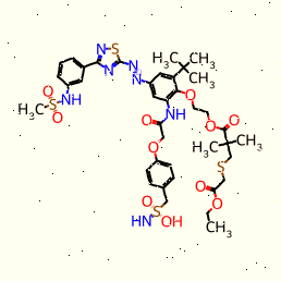 CCOC(=O)CSCC(C)(C)C(=O)OCCOc1c(NC(=O)COc2ccc(CS(=N)(=O)O)cc2)cc(/N=N/c2nc(-c3cccc(NS(C)(=O)=O)c3)ns2)cc1C(C)(C)C